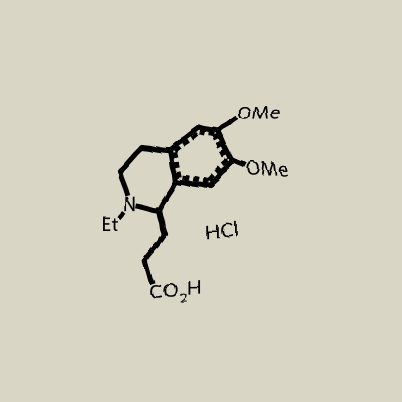 CCN1CCc2cc(OC)c(OC)cc2C1CCC(=O)O.Cl